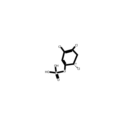 O=P(O)(O)OC1=CC(Cl)=C(Cl)C[C@@H]1Cl